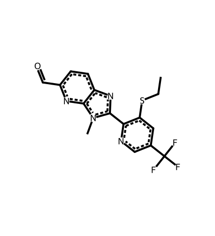 CCSc1cc(C(F)(F)F)cnc1-c1nc2ccc(C=O)nc2n1C